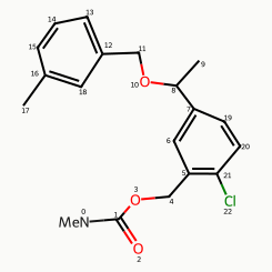 CNC(=O)OCc1cc(C(C)OCc2cccc(C)c2)ccc1Cl